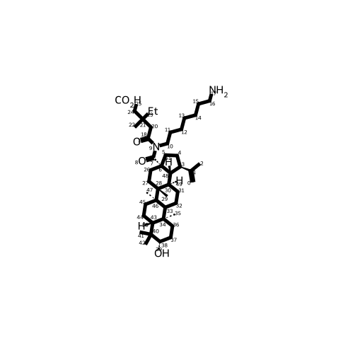 C=C(C)[C@@H]1CC[C@]2(C(=O)N(CCCCCCCN)C(=O)CC(C)(CC)CC(=O)O)CC[C@]3(C)[C@H](CCC4[C@@]5(C)CC[C@H](O)C(C)(C)[C@@H]5CC[C@]43C)[C@@H]12